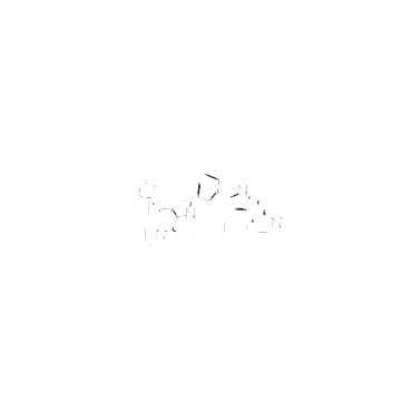 CN1CCC(O)(c2cc(-c3cccc(-c4nc(C(N)=O)c(NC5COC5)s4)c3)no2)C1=O